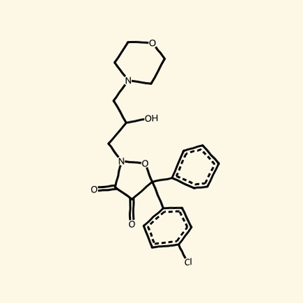 O=C1C(=O)C(c2ccccc2)(c2ccc(Cl)cc2)ON1CC(O)CN1CCOCC1